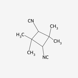 [C-]#[N+]C1C(C)(C)C([N+]#[C-])C1(C)C